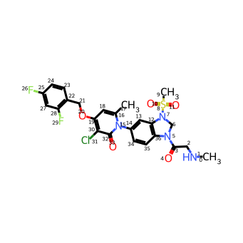 CNCC(=O)N1CN(S(C)(=O)=O)c2cc(-n3c(C)cc(OCc4ccc(F)cc4F)c(Cl)c3=O)ccc21